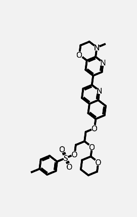 Cc1ccc(S(=O)(=O)OCC(COc2ccc3nc(-c4cnc5c(c4)OCCN5C)ccc3c2)OC2CCCCO2)cc1